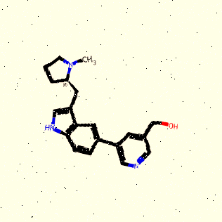 CN1CCC[C@@H]1Cc1c[nH]c2ccc(-c3cncc(CO)c3)cc12